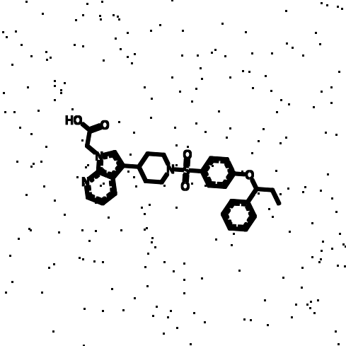 CCC(Oc1ccc(S(=O)(=O)N2CCC(c3cn(CC(=O)O)c4ncccc34)CC2)cc1)c1ccccc1